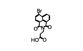 O=C(O)CCN1C(=O)c2cccc3c(Br)ccc(c23)C1=O